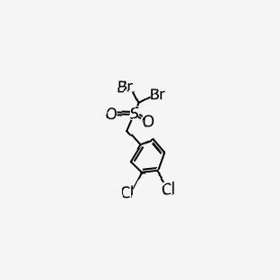 O=S(=O)(Cc1ccc(Cl)c(Cl)c1)C(Br)Br